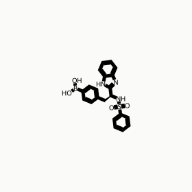 O=S(=O)(N[C@@H](Cc1ccc(B(O)O)cc1)c1nc2ccccc2[nH]1)c1ccccc1